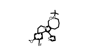 COc1cc2c(cc1Br)-c1c(-c3cccs3)c3c(n1CC2)CON(C(C)(C)C)CCCC3